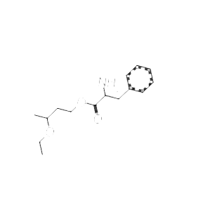 CCOC(C)CCOC(=O)C(N)Cc1ccccc1